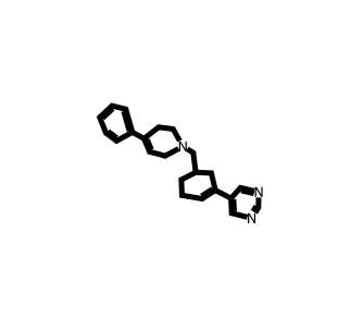 C1=C(c2ccccc2)CCN(CC2CCC=C(c3cncnc3)C2)C1